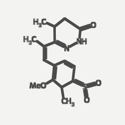 COC1=C(C=C(C)C2=NNC(=O)CC2C)C=CC(=S(=O)=O)C1C